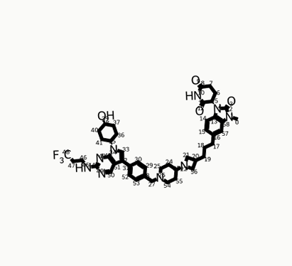 Cn1c(=O)n([C@H]2CCC(=O)NC2=O)c2ccc(CCCC3CN(C4CCN(Cc5ccc(-c6cn([C@H]7CC[C@H](O)CC7)c7nc(NCCC(F)(F)F)ncc67)cc5)CC4)C3)cc21